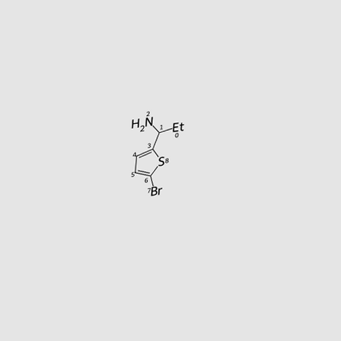 CCC(N)c1ccc(Br)s1